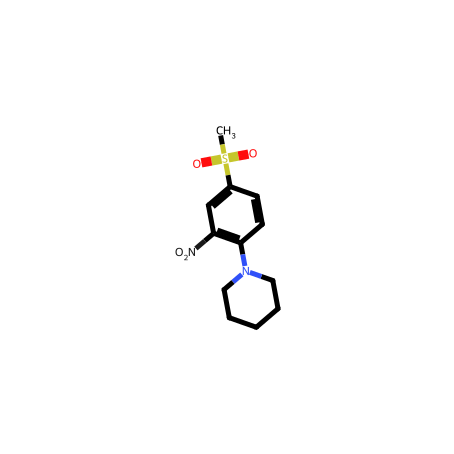 CS(=O)(=O)c1ccc(N2CCCCC2)c([N+](=O)[O-])c1